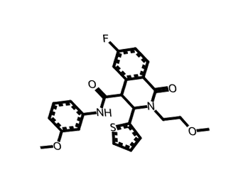 COCCN1C(=O)c2ccc(F)cc2C(C(=O)Nc2cccc(OC)c2)C1c1cccs1